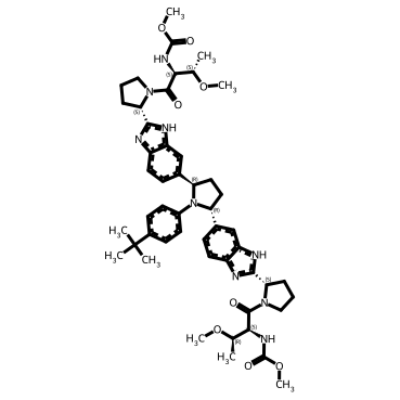 COC(=O)N[C@H](C(=O)N1CCC[C@H]1c1nc2ccc([C@H]3CC[C@H](c4ccc5nc([C@@H]6CCCN6C(=O)[C@@H](NC(=O)OC)[C@@H](C)OC)[nH]c5c4)N3c3ccc(C(C)(C)C)cc3)cc2[nH]1)[C@H](C)OC